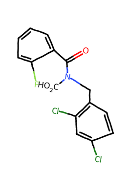 O=C(O)N(Cc1ccc(Cl)cc1Cl)C(=O)c1ccccc1F